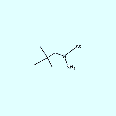 CC(=O)N(N)CC(C)(C)C